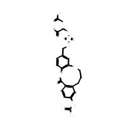 N=C(N)Nc1ccc2c(c1)CCCOc1cc(CNS(=O)(=O)N[C@@H](CC(=O)O)C(=O)O)ccc1OC2=O